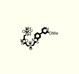 COc1cc(-c2ccc3nc(CS(=O)(=O)Cc4nnc(CNS(N)(=O)=O)o4)sc3c2)ccn1